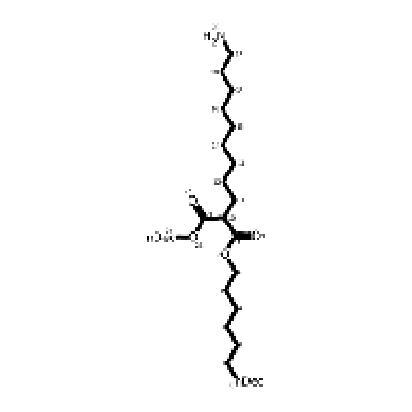 CCCCCCCCCCCCCCCCOC(=O)C(CCCCCCCCCN)C(=O)OCCCCCCCCCC